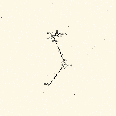 O=CNCC(=O)N[C@@H](CC(=O)O)C(=O)N[C@@H](CC(=O)NCCCOCCOCCOCCCNC(=O)C[C@H](NC(=O)CCCCCCCCCCCCCCC(=O)O)C(=O)O)C(=O)O